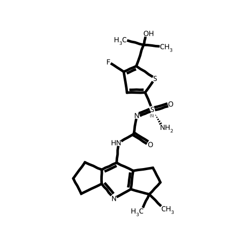 CC(C)(O)c1sc([S@@](N)(=O)=NC(=O)Nc2c3c(nc4c2CCC4(C)C)CCC3)cc1F